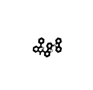 CC1C(c2cccc3oc4c(-n5c6ccccc6c6ccccc65)cccc4c23)=NC(c2ccccc2)=C2C=CC=CC21